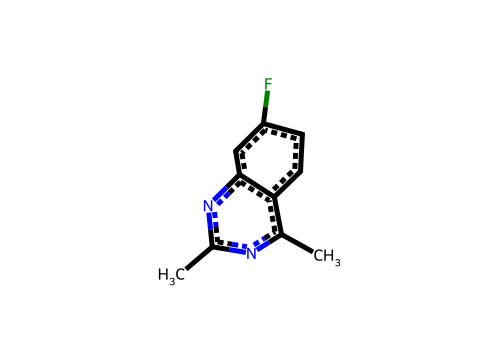 Cc1nc(C)c2ccc(F)cc2n1